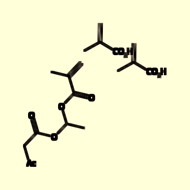 C=C(C)C(=O)O.C=C(C)C(=O)O.C=C(C)C(=O)OC(C)OC(=O)CC(C)=O